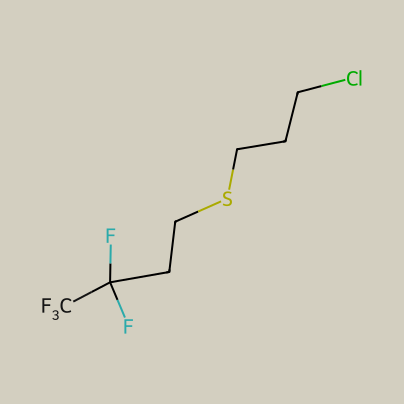 FC(F)(F)C(F)(F)CCSCCCCl